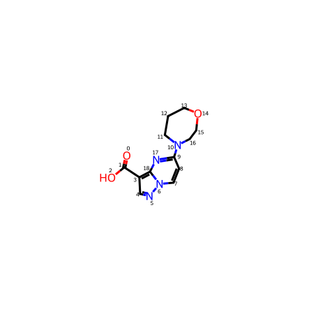 O=C(O)c1cnn2ccc(N3CCCOCC3)nc12